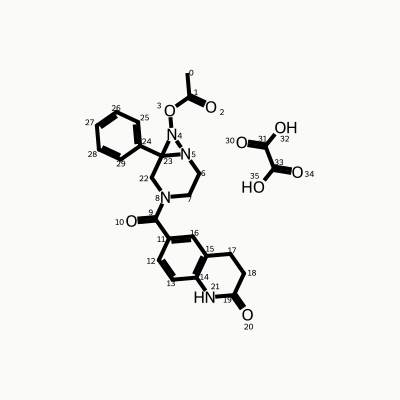 CC(=O)ON1N2CCN(C(=O)c3ccc4c(c3)CCC(=O)N4)CC21c1ccccc1.O=C(O)C(=O)O